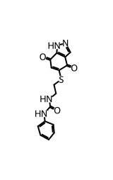 O=C(NCCSC1=CC(=O)c2[nH]ncc2C1=O)Nc1ccccc1